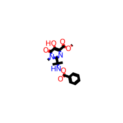 COC(=O)c1nc(C(C)(C)NOC(=O)c2ccccc2)n(C)c(=O)c1O